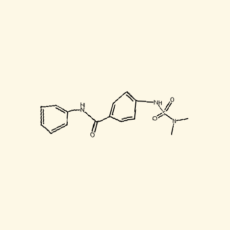 CN(C)S(=O)(=O)Nc1ccc(C(=O)Nc2ccccc2)cc1